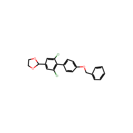 Clc1cc(C2OCCO2)cc(Cl)c1-c1ccc(OCc2ccccc2)cc1